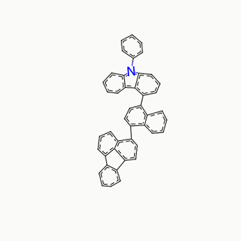 c1ccc(-n2c3ccccc3c3c(-c4ccc(-c5ccc6c7c(cccc57)-c5ccccc5-6)c5ccccc45)cccc32)cc1